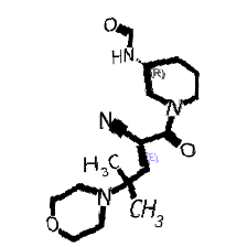 CC(C)(/C=C(\C#N)C(=O)N1CCC[C@@H](NC=O)C1)N1CCOCC1